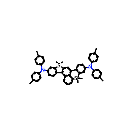 Cc1ccc(N(c2ccc(C)cc2)c2ccc3c(c2)[Si](C)(C)c2cc4c5c(cccc5c2-3)[Si](C)(C)c2cc(N(c3ccc(C)cc3)c3ccc(C)cc3)ccc2-4)cc1